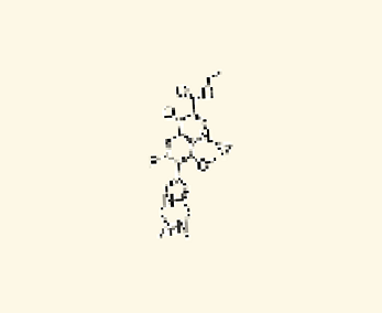 CCOC(=O)c1cn(C2CC2)c2c(OC)c(-c3cc4n(c3)C[C@H](C)N(C)C4)c(F)cc2c1=O